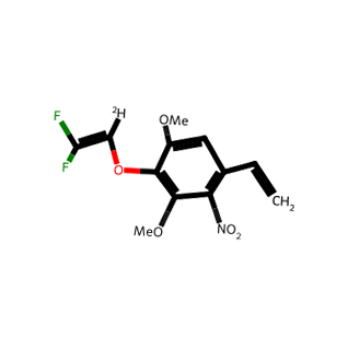 [2H]C(Oc1c(OC)cc(C=C)c([N+](=O)[O-])c1OC)=C(F)F